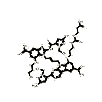 CCn1nc(C)cc1C(=O)Nc1nc2cc(C(N)=O)cc(OCCCO)c2n1C/C=C/Cn1c2nc(-c3cc(C)nn3CC)ncc2c2cc(C(N)=O)cc(OCCCOC(=O)NCCC(=O)O)c21